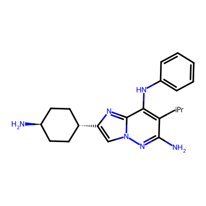 CC(C)c1c(N)nn2cc([C@H]3CC[C@H](N)CC3)nc2c1Nc1ccccc1